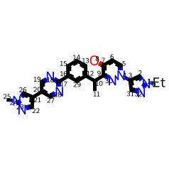 CCn1cc(-n2ccc(=O)c(C(C)c3cccc(-c4ncc(-c5cnn(C)c5)cn4)c3)n2)cn1